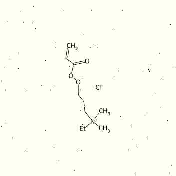 C=CC(=O)OOCCC[N+](C)(C)CC.[Cl-]